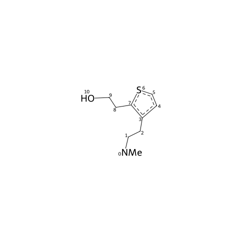 CNCCc1ccsc1CCO